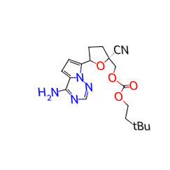 CC(C)(C)CCOC(=O)OC[C@]1(C#N)CCC(c2ccc3c(N)ncnn23)O1